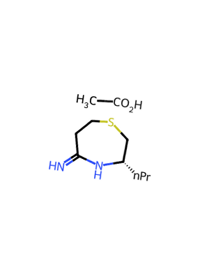 CC(=O)O.CCC[C@H]1CSCCC(=N)N1